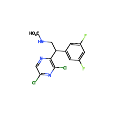 O=C(O)NCC(c1cc(F)cc(F)c1)c1ncc(Cl)nc1Cl